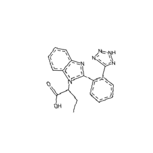 CCC(C(=O)O)n1c(-c2ccccc2-c2nn[nH]n2)nc2ccccc21